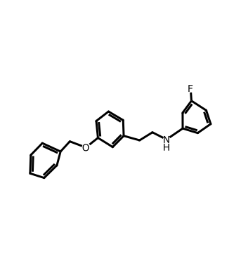 Fc1cccc(NCCc2cccc(OCc3ccccc3)c2)c1